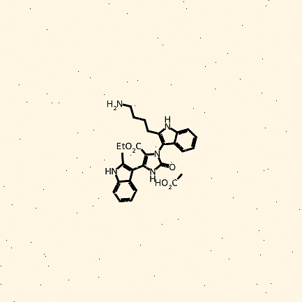 CC(=O)O.CCOC(=O)c1c(-c2c(C)[nH]c3ccccc23)[nH]c(=O)n1-c1c(CCCCN)[nH]c2ccccc12